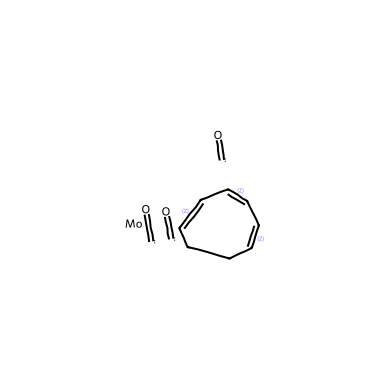 C1=C\C=C/CC\C=C/1.[C]=O.[C]=O.[C]=O.[Mo]